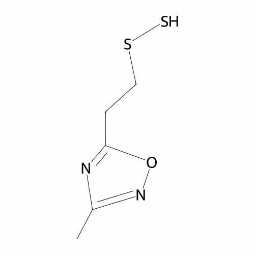 Cc1noc(CCSS)n1